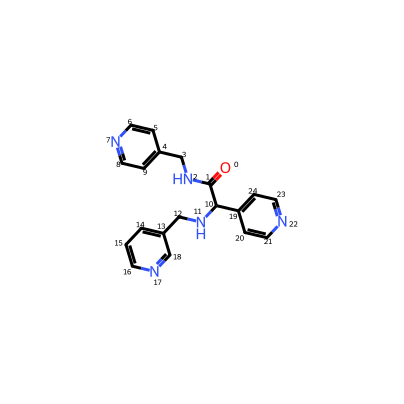 O=C(NCc1ccncc1)C(NCc1cccnc1)c1ccncc1